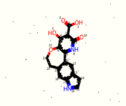 O=C(O)c1c(O)c2c([nH]c1=O)-c1cc3cc[nH]c3cc1CCO2